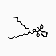 CCCCCCCCC(CCCCCCCC)COC(=O)C(C)(OC)c1ccccc1